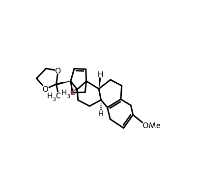 COC1=CCC2=C(CC[C@@H]3[C@@H]2CC[C@@]2(C)C34C=C[C@@]2(C2(C)OCCO2)CC4)C1